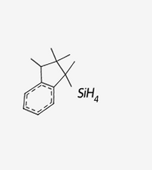 CC1c2ccccc2C(C)(C)C1(C)C.[SiH4]